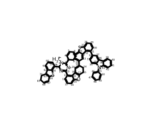 CN1C(C2C=CC=CC2)=NC(c2cccc3oc4c(c23)C=C(c2ccc3sc5cccc(-c6ccc7c(c6)c6ccccc6n7-c6ccccc6)c5c3c2)CC4)=NC1c1cccc2c3c(sc12)C=CCC3